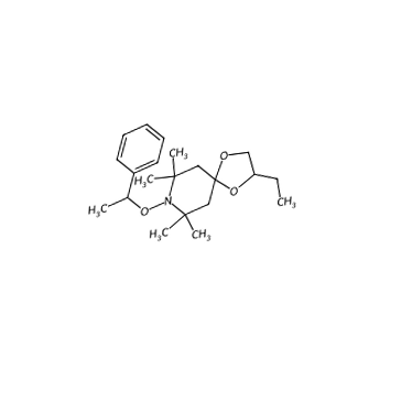 CCC1COC2(CC(C)(C)N(OC(C)c3ccccc3)C(C)(C)C2)O1